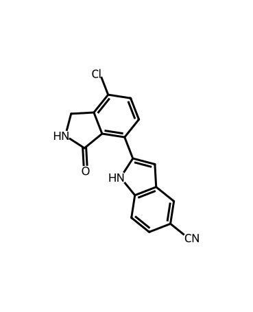 N#Cc1ccc2[nH]c(-c3ccc(Cl)c4c3C(=O)NC4)cc2c1